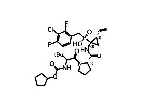 C=C[C@@H]1C[C@]1(NC(=O)[C@@H]1CCCN1C(=O)C(NC(=O)OC1CCCC1)C(C)(C)C)P(=O)(O)Cc1ccc(F)c(Cl)c1F